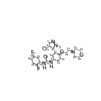 Cn1ncc(Cl)c1-c1cc(NC(=O)Nc2cc(F)ccc2F)ccc1OCCN1CCOCC1